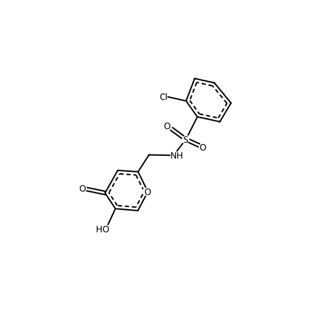 O=c1cc(CNS(=O)(=O)c2ccccc2Cl)occ1O